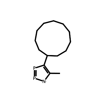 CC1=C(C2CCCCCCCCCC2)P=P[N]1